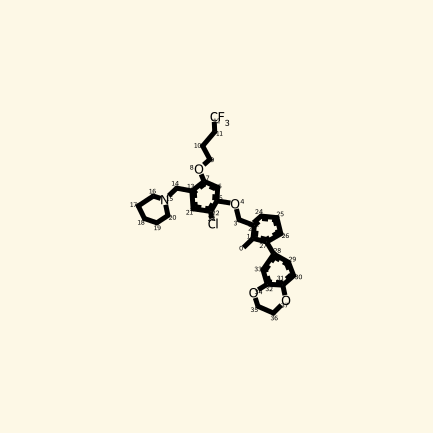 Cc1c(COc2cc(OCCCC(F)(F)F)c(CN3CCCCC3)cc2Cl)cccc1-c1ccc2c(c1)OCCO2